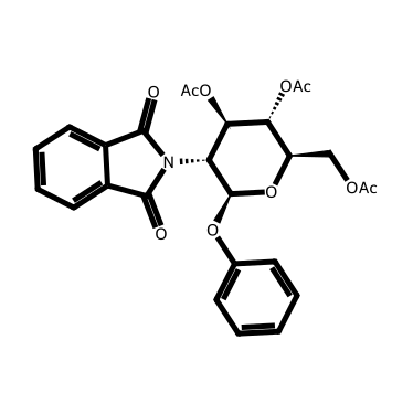 CC(=O)OC[C@H]1O[C@@H](Oc2ccccc2)[C@H](N2C(=O)c3ccccc3C2=O)[C@@H](OC(C)=O)[C@@H]1OC(C)=O